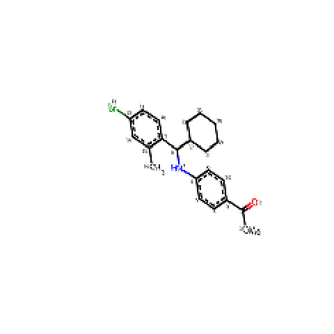 COC(=O)c1ccc(NC(c2ccc(Br)cc2C)C2CCCCC2)cc1